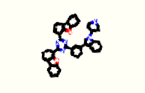 c1cc(-c2nc(-c3cccc4c3oc3ccccc34)nc(-c3cccc4c3oc3ccccc34)n2)cc(-c2cn(-c3ccncc3)c3ccccc23)c1